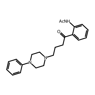 CC(=O)Nc1ccccc1C(=O)CCCN1CCN(c2ccccc2)CC1